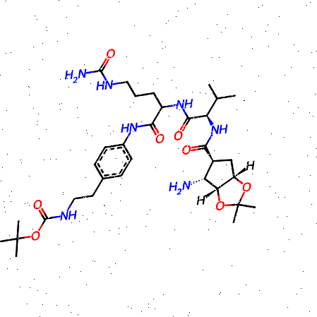 CC(C)[C@@H](NC(=O)[C@H]1C[C@@H]2OC(C)(C)O[C@@H]2[C@@H]1N)C(=O)NC(CCCNC(N)=O)C(=O)Nc1ccc(CCNC(=O)OC(C)(C)C)cc1